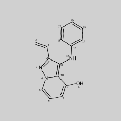 C=Cc1nn2cccc(O)c2c1Nc1ccccc1